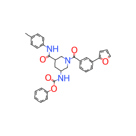 Cc1ccc(NC(=O)C2CC(NC(=O)Oc3ccccc3)CN(C(=O)c3cccc(-c4ccco4)c3)C2)cc1